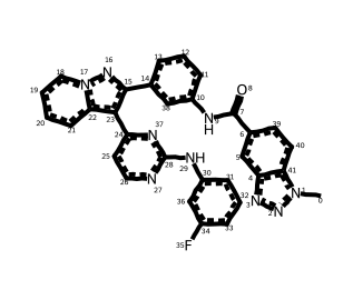 Cn1nnc2cc(C(=O)Nc3cccc(-c4nn5ccccc5c4-c4ccnc(Nc5cccc(F)c5)n4)c3)ccc21